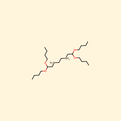 CCCCOC(C[SiH2]CC[SiH2]CC(OCCCC)OCCCC)OCCCC